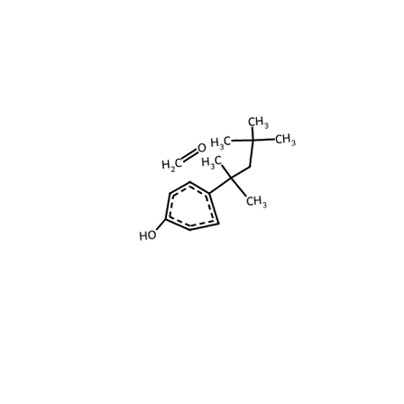 C=O.CC(C)(C)CC(C)(C)c1ccc(O)cc1